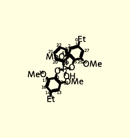 CCc1cc(OC)c(O[PH](O)(Oc2c(OC)cc(CC)cc2OC)c2ccccc2)c(OC)c1